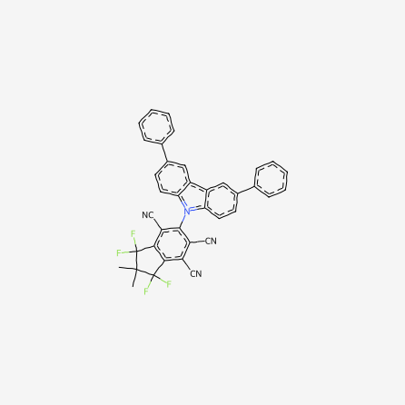 CC1(C)C(F)(F)c2c(C#N)c(C#N)c(-n3c4ccc(-c5ccccc5)cc4c4cc(-c5ccccc5)ccc43)c(C#N)c2C1(F)F